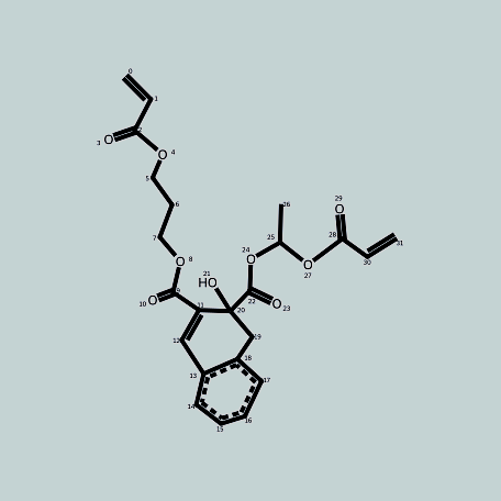 C=CC(=O)OCCCOC(=O)C1=Cc2ccccc2CC1(O)C(=O)OC(C)OC(=O)C=C